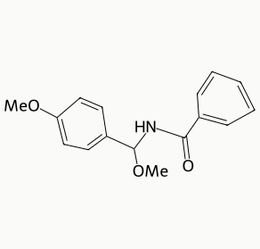 COc1ccc(C(NC(=O)c2ccccc2)OC)cc1